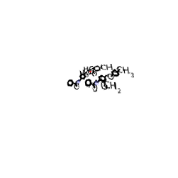 C=O.CC(=O)C1(O)CCC(C)CC1.Cc1ccc(OCc2ccc(/C=C/C(=O)c3ccccc3)cc2)cc1.O=Cc1ccc(/C=C/C(=O)c2ccccc2)cc1